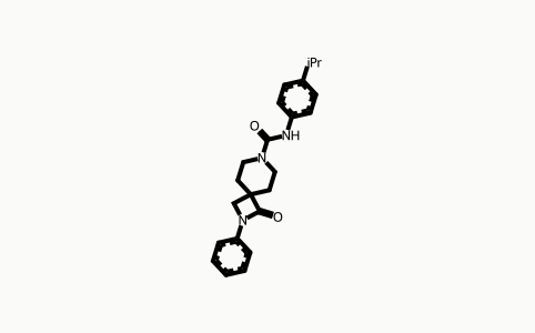 CC(C)c1ccc(NC(=O)N2CCC3(CC2)CN(c2ccccc2)C3=O)cc1